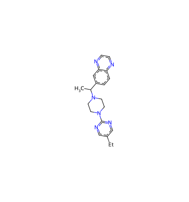 CCc1cnc(N2CCN(C(C)c3ccc4nccnc4c3)CC2)nc1